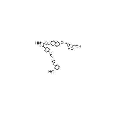 Cl.OCC(O)COCCOc1ccc2cc(COC3CNCCC3c3ccc(OCCCOCc4ccccc4)cc3)ccc2c1